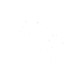 NCC(c1ccccc1)n1cc(-c2ccnc(N)c2-c2ccc(Cl)cc2)c(F)n1